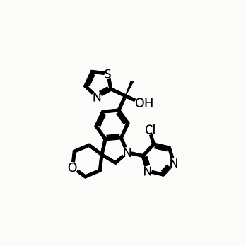 C[C@@](O)(c1ccc2c(c1)N(c1ncncc1Cl)CC21CCOCC1)c1nccs1